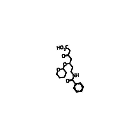 O=C(O)CC(=O)C[C@@H](CCNC(=O)c1ccccc1)OC1CCCCO1